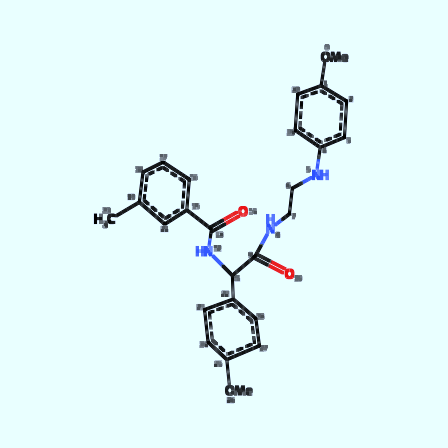 COc1ccc(NCCNC(=O)C(NC(=O)c2cccc(C)c2)c2ccc(OC)cc2)cc1